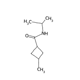 CC1CC(C(=O)NC(C)C)C1